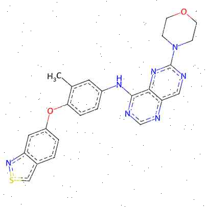 Cc1cc(Nc2ncnc3cnc(N4CCOCC4)nc23)ccc1Oc1ccc2csnc2c1